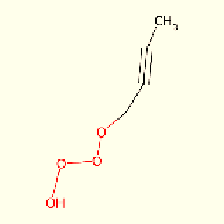 CC#CCOOOO